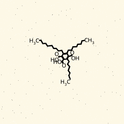 CCCCCCCCCCc1c(CCCCCCCC)c(C(=O)O)c(CCCCCCCC)c(C(=O)O)c1C(=O)O